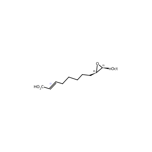 CCCCCCCC[C@@H]1O[C@@H]1CCCCC/C=C/C(=O)O